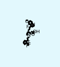 COc1ccc2nccc(C(F)CC[C@@H]3CCN(CCCc4ccccc4C(F)(F)F)C[C@@H]3CC(=O)O)c2c1